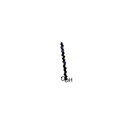 CC/C=C/C=C/CCCCC/C=C/CCCCCCC(=O)O